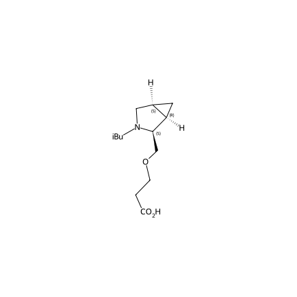 CCC(C)N1C[C@H]2C[C@H]2[C@H]1COCCC(=O)O